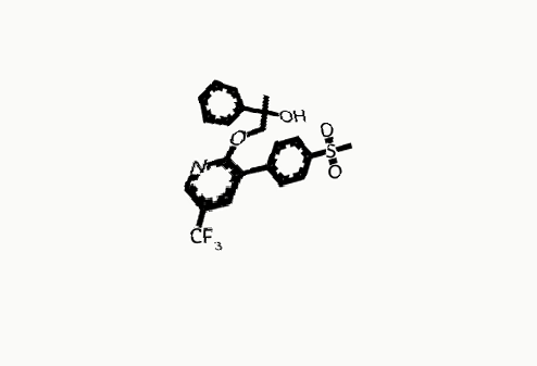 CC(O)(COc1ncc(C(F)(F)F)cc1-c1ccc(S(C)(=O)=O)cc1)c1ccccc1